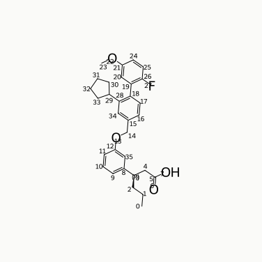 CCC[C@H](CC(=O)O)c1cccc(OCc2ccc(-c3cc(OC)ccc3F)c(C3CCCC3)c2)c1